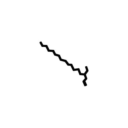 C=CCC(CC)CCCCCCCCCCCCCC